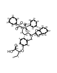 CCC(Oc1cccc(CN(CCCN(S(=O)(=O)c2ccccc2)S(=O)(=O)c2ccccc2)c2nc3ccccc3o2)c1)C(=O)O